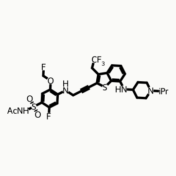 CC(=O)NS(=O)(=O)c1cc(OCF)c(NCC#Cc2sc3c(NC4CCN(C(C)C)CC4)cccc3c2CC(F)(F)F)cc1F